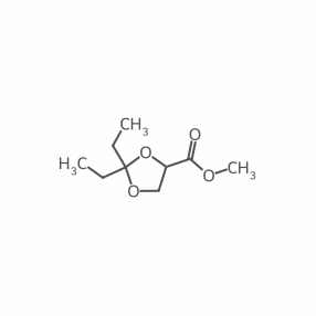 CCC1(CC)OCC(C(=O)OC)O1